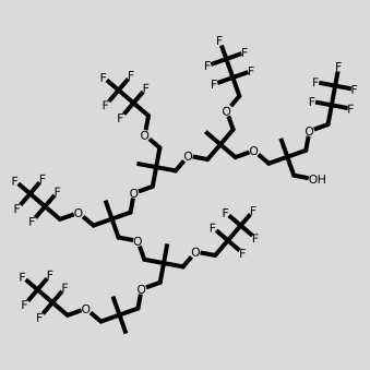 CC(C)(COCC(C)(COCC(C)(COCC(C)(COCC(C)(COCC(C)(CO)COCC(F)(F)C(F)(F)F)COCC(F)(F)C(F)(F)F)COCC(F)(F)C(F)(F)F)COCC(F)(F)C(F)(F)F)COCC(F)(F)C(F)(F)F)COCC(F)(F)C(F)(F)F